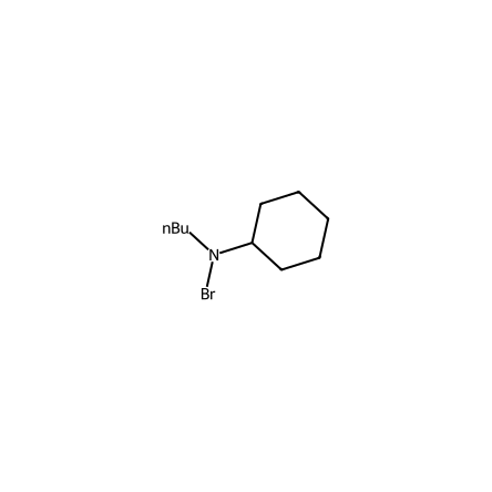 CCCCN(Br)C1CCCCC1